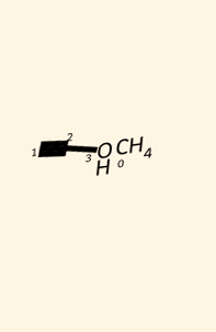 C.C#CO